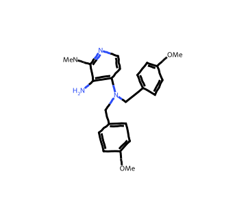 CNc1nccc(N(Cc2ccc(OC)cc2)Cc2ccc(OC)cc2)c1N